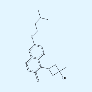 CC(C)CCOc1cnc2c(c1)ncc(=O)n2C1CC(C)(O)C1